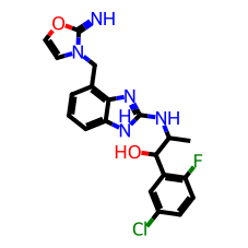 CC(Nc1nc2c(Cn3ccoc3=N)cccc2[nH]1)C(O)c1cc(Cl)ccc1F